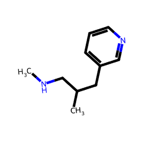 CNCC(C)Cc1cccnc1